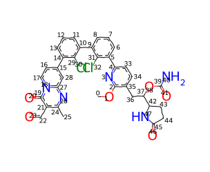 COc1nc(-c2cccc(-c3cccc(-c4ccn5c(=O)c(C=O)c(C)nc5c4)c3Cl)c2Cl)ccc1CC(OC(N)=O)C1CCC(=O)N1